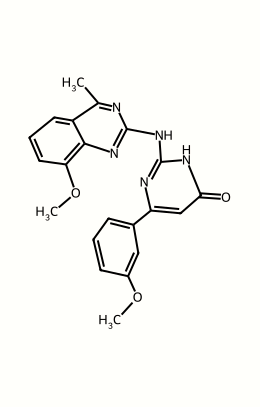 COc1cccc(-c2cc(=O)[nH]c(Nc3nc(C)c4cccc(OC)c4n3)n2)c1